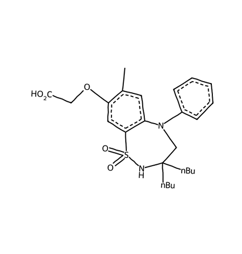 CCCCC1(CCCC)CN(c2ccccc2)c2cc(C)c(OCC(=O)O)cc2S(=O)(=O)N1